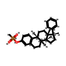 C[C@]12CC[C@@H]3c4ccc(OS(C)(=O)=O)cc4CC[C@H]3[C@@H]1CC[C@]2(C)c1ccccc1